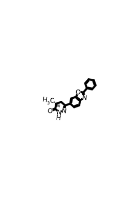 C[C@@H]1CC(c2ccc3nc(-c4ccccc4)oc3c2)=NNC1=O